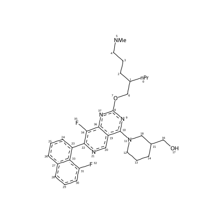 CCCC(CCCNC)COc1nc(N2CCCC(CO)C2)c2cnc(-c3cccc4cccc(F)c34)c(F)c2n1